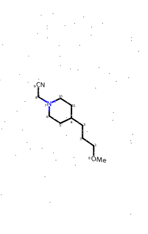 COCCCC1CCN(CC#N)CC1